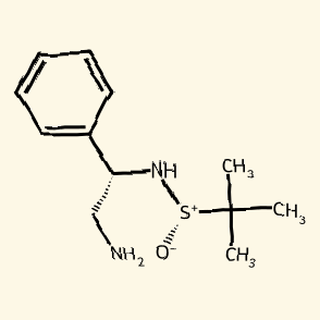 CC(C)(C)[S@+]([O-])N[C@H](CN)c1ccccc1